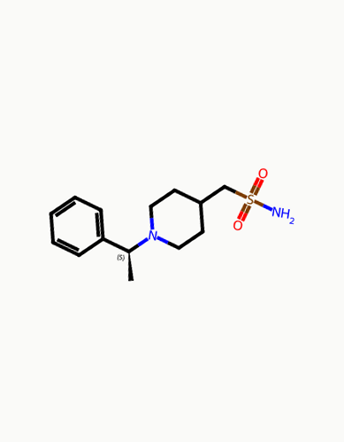 C[C@@H](c1ccccc1)N1CCC(CS(N)(=O)=O)CC1